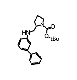 CC(C)(C)OC(=O)N1CCCC1CNc1cccc(-c2ccccc2)c1